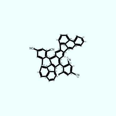 Cc1cc(C#N)cc(C#N)c1-c1c2cc3c(cc2c(-c2c(C)cc(C#N)cc2C#N)c2c4cccc5cccc(c12)c54)c1cc2ccccc2c2cccc3c21